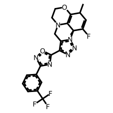 CC1C=C(F)C2(C)C3=C1OCCN3Cc1c(-c3nc(-c4cccc(C(F)(F)F)c4)no3)nnn12